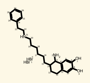 Br.Br.NC1c2cc(O)c(O)cc2CCC1CCCCCCNCCc1ccccc1